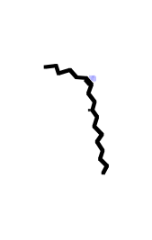 CCCCC/C=C\CC[CH]CCCCCCCC